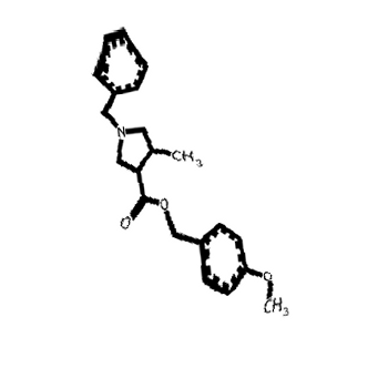 COc1ccc(COC(=O)C2CN(Cc3ccccc3)CC2C)cc1